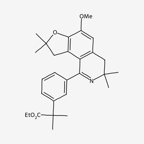 CCOC(=O)C(C)(C)c1cccc(C2=NC(C)(C)Cc3cc(OC)c4c(c32)CC(C)(C)O4)c1